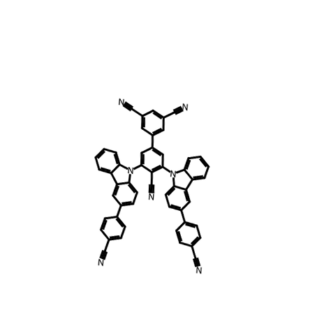 N#Cc1ccc(-c2ccc3c(c2)c2ccccc2n3-c2cc(-c3cc(C#N)cc(C#N)c3)cc(-n3c4ccccc4c4cc(-c5ccc(C#N)cc5)ccc43)c2C#N)cc1